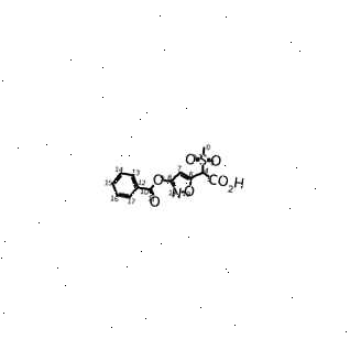 CS(=O)(=O)C(C(=O)O)c1cc(OC(=O)c2ccccc2)no1